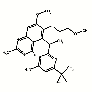 COCCOc1c(OC)cc2nc(C)nc(N)c2c1C(C)c1cc(N)cc(C2(C)CC2)n1